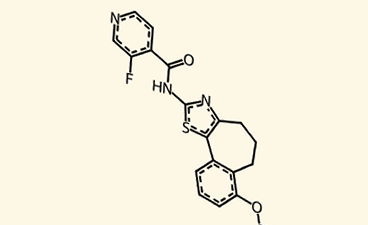 COc1cccc2c1CCCc1nc(NC(=O)c3ccncc3F)sc1-2